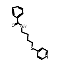 O=C(NCCCCSc1ccncc1)c1ccccc1